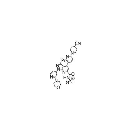 CC(C)c1nn(-c2ccnc(N3CCOCC3)c2)c2nc(C(=O)NS(C)(=O)=O)cc(-c3ccc(N4CCC(C#N)CC4)nc3)c12